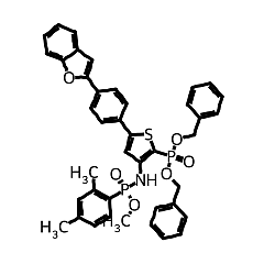 COP(=O)(Nc1cc(-c2ccc(-c3cc4ccccc4o3)cc2)sc1P(=O)(OCc1ccccc1)OCc1ccccc1)c1ccc(C)cc1C